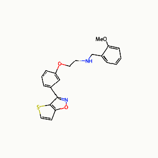 COc1ccccc1CNCCOc1cccc(-c2noc3ccsc23)c1